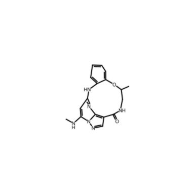 CNc1cc2nc3c(cnn13)C(=O)NCC(C)Oc1ccccc1N2